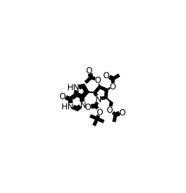 CC(=O)OC[C@@H]1[C@H](OC(C)=O)[C@@H](OC(C)=O)[C@H](c2c[nH]c3c(=O)[nH]cnc23)N1C(=O)OC(C)(C)C